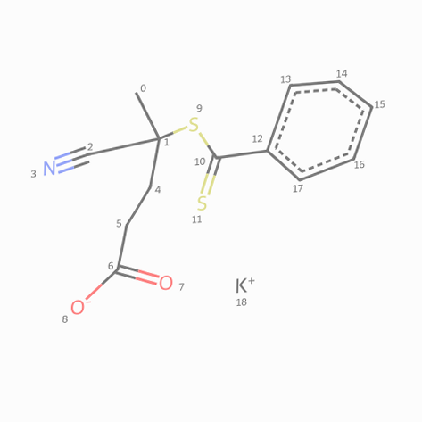 CC(C#N)(CCC(=O)[O-])SC(=S)c1ccccc1.[K+]